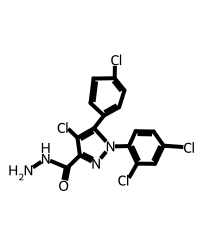 NNC(=O)c1nn(-c2ccc(Cl)cc2Cl)c(-c2ccc(Cl)cc2)c1Cl